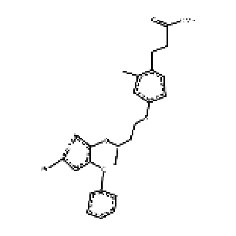 COC(=O)CCc1ccc(SCC[C@@H](C)Oc2ccc(C(C)C)cc2Oc2ccccc2)cc1C